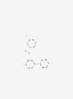 O=S(=O)(c1cccc(C(F)(F)F)c1)N1CCOc2ccc(-c3ccc(F)cc3F)cc21